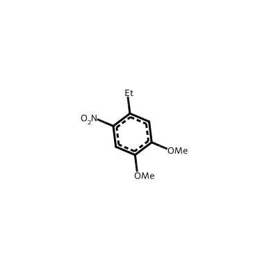 [CH2]Cc1cc(OC)c(OC)cc1[N+](=O)[O-]